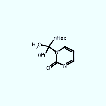 CCCCCCC(C)(CCC)n1cccnc1=O